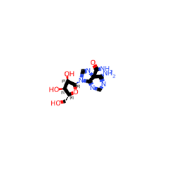 NC(=O)C12N=CN([C@@H]3O[C@H](CO)[C@@H](O)[C@H]3O)C1=NCN=C2N